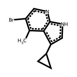 Cc1c(Br)cnc2[nH]cc(C3CC3)c12